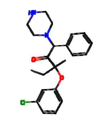 CCC(C)(Oc1cccc(Cl)c1)C(=O)C(c1ccccc1)N1CCNCC1